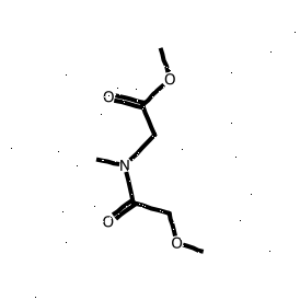 COCC(=O)N(C)CC(=O)OC